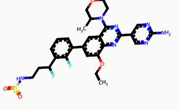 CCOc1cc(-c2cccc(C(F)CCN[SH](=O)=O)c2F)cc2c(N3CCOCC3C)nc(-c3cnc(N)nc3)nc12